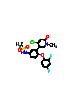 Cn1cc(-c2cc(NS(C)(=O)=O)ccc2Oc2ccc(F)cc2F)c(Cl)cc1=O